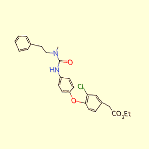 CCOC(=O)Cc1ccc(Oc2ccc(NC(=O)N(C)CCc3ccccc3)cc2)c(Cl)c1